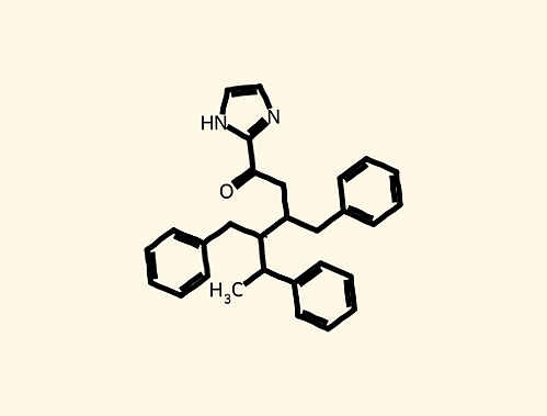 CC([C](Cc1ccccc1)C(CC(=O)c1ncc[nH]1)Cc1ccccc1)c1ccccc1